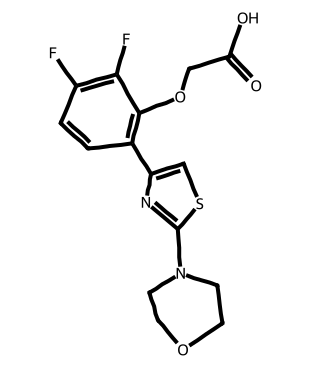 O=C(O)COc1c(-c2csc(N3CCOCC3)n2)ccc(F)c1F